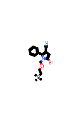 C[Si](C)(C)CCOCn1c(Br)cc(C#N)c1-c1ccccc1